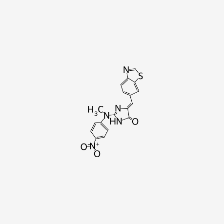 CN(C1=N/C(=C\c2ccc3ncsc3c2)C(=O)N1)c1ccc([N+](=O)[O-])cc1